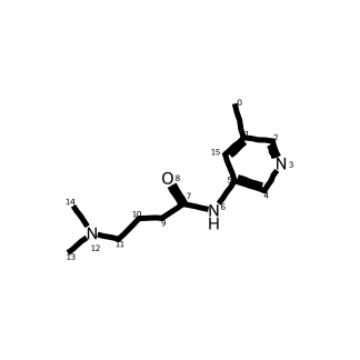 Cc1cncc(NC(=O)CCCN(C)C)c1